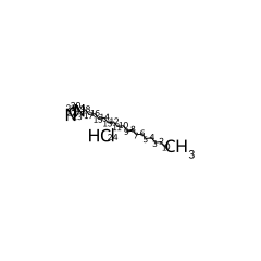 CCCCCCCCC=CCCCCCCCCCn1ccnc1.Cl